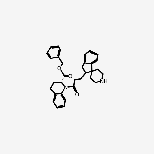 O=C(OCc1ccccc1)[C@H]1CCc2ccccc2N1C(=O)CCC1Cc2ccccc2C12CCNCC2